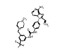 C=Cc1nc2c(N)ncnc2n1-c1ccc(NC(=O)Nc2cc(CN3CCN(C)CC3)cc(C(F)(F)F)c2)cc1